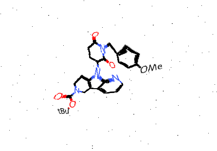 COc1ccc(CN2C(=O)CCC(n3c4c(c5cccnc53)CN(C(=O)OC(C)(C)C)CC4)C2=O)cc1